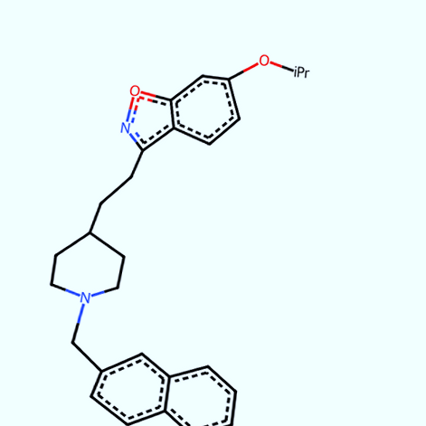 CC(C)Oc1ccc2c(CCC3CCN(Cc4ccc5ccccc5c4)CC3)noc2c1